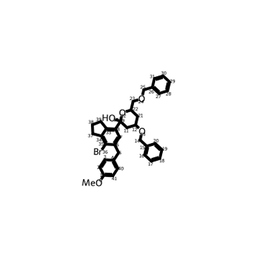 COc1ccc(Cc2cc(C3(O)CC(OCc4ccccc4)CC(COCc4ccccc4)O3)c3c(c2Br)CCC3)cc1